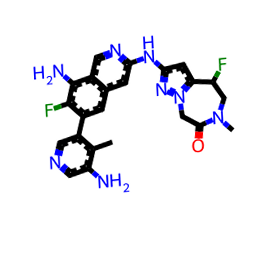 Cc1c(N)cncc1-c1cc2cc(Nc3cc4n(n3)CC(=O)N(C)CC4F)ncc2c(N)c1F